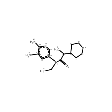 CCN(C(=O)C(C)C1CCOCC1)c1cnc(N)c(N)c1